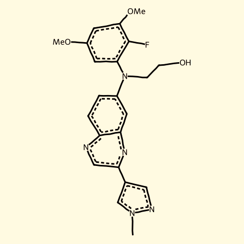 COc1cc(OC)c(F)c(N(CCO)c2ccc3ncc(-c4cnn(C)c4)nc3c2)c1